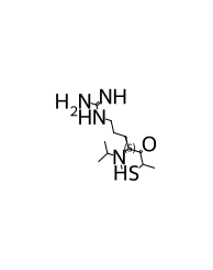 CC(S)C(=O)[C@H](CCCNC(=N)N)N(C)C(C)C